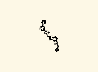 c1ccn(-c2cncc(-c3ncn(Cc4cn5cc(CNCC6CCC6)ccc5n4)n3)c2)c1